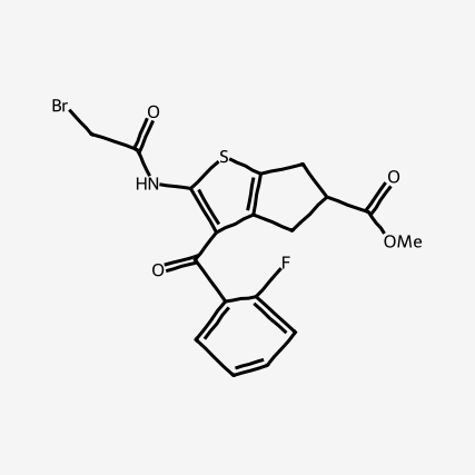 COC(=O)C1Cc2sc(NC(=O)CBr)c(C(=O)c3ccccc3F)c2C1